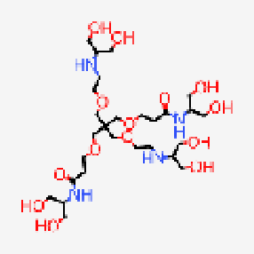 O=C(CCOCC(COCCNC(CO)CO)(COCCNC(CO)CO)COCCC(=O)NC(CO)CO)NC(CO)CO